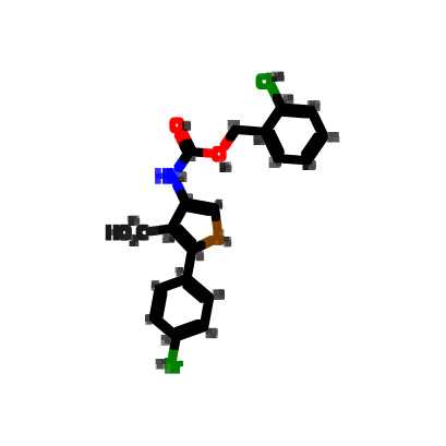 O=C(Nc1csc(-c2ccc(Br)cc2)c1C(=O)O)OCc1ccccc1Cl